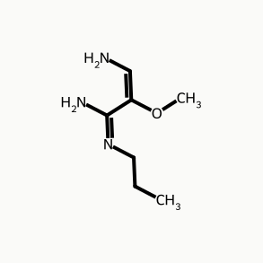 CCC/N=C(N)\C(=C/N)OC